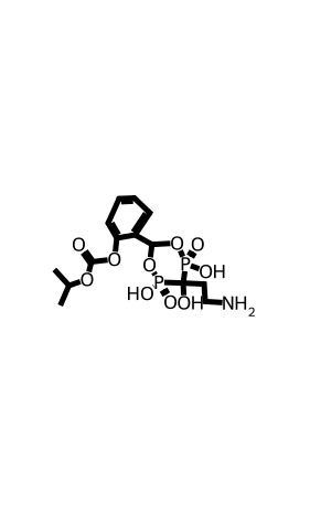 CC(C)OC(=O)Oc1ccccc1C1OP(=O)(O)C(O)(CCN)P(=O)(O)O1